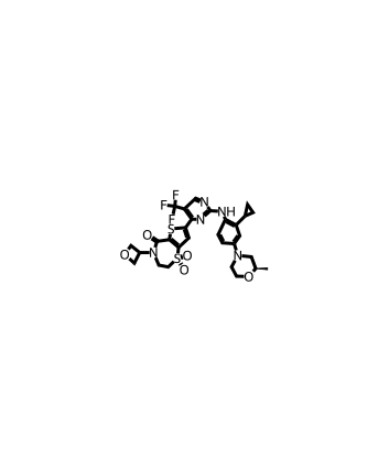 C[C@@H]1CN(c2ccc(Nc3ncc(C(F)(F)F)c(-c4cc5c(s4)C(=O)N(C4COC4)CCS5(=O)=O)n3)c(C3CC3)c2)CCO1